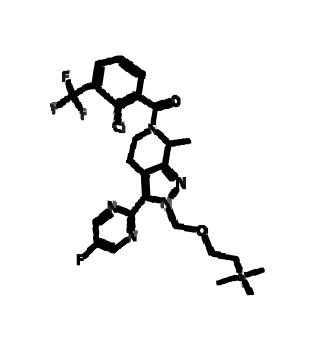 CC1c2nn(COCCS(C)(C)C)c(-c3ncc(F)cn3)c2CCN1C(=O)c1cccc(C(F)(F)F)c1Cl